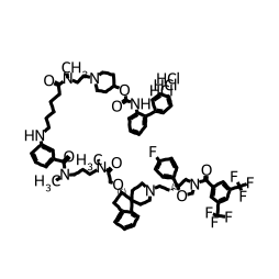 CN(CCN1CCC(OC(=O)Nc2ccccc2-c2ccccc2)CC1)C(=O)CCCCCNc1cccc(C(=O)N(C)CCCN(C)C(=O)CO[C@H]2Cc3ccccc3C23CCN(CC[C@]2(c4ccc(F)cc4)CN(C(=O)c4cc(C(F)(F)F)cc(C(F)(F)F)c4)CO2)CC3)c1.Cl.Cl.Cl